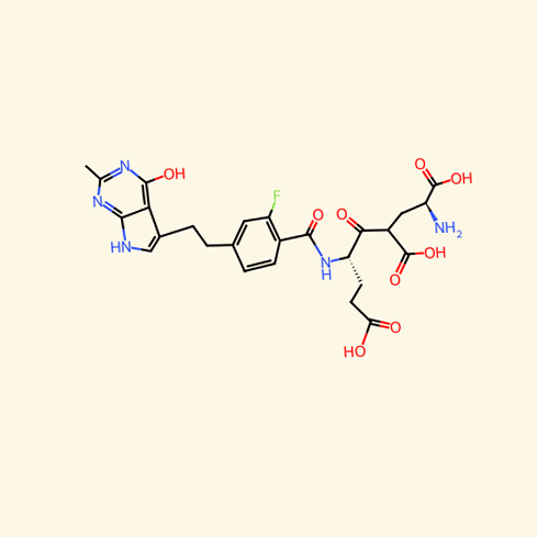 Cc1nc(O)c2c(CCc3ccc(C(=O)N[C@@H](CCC(=O)O)C(=O)C(C[C@H](N)C(=O)O)C(=O)O)c(F)c3)c[nH]c2n1